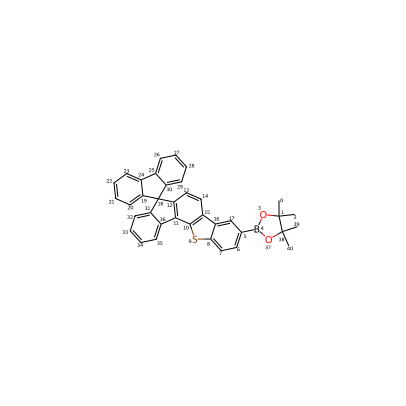 CC1(C)OB(c2ccc3sc4c5c(ccc4c3c2)C2(c3ccccc3-c3ccccc32)c2ccccc2-5)OC1(C)C